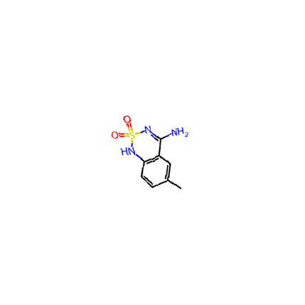 Cc1ccc2c(c1)C(N)=NS(=O)(=O)N2